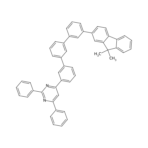 CC1(C)c2ccccc2-c2ccc(-c3cccc(-c4cccc(-c5cccc(-c6cc(-c7ccccc7)nc(-c7ccccc7)n6)c5)c4)c3)cc21